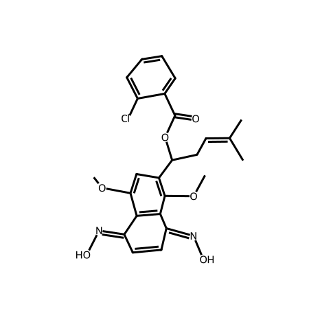 COc1cc(C(CC=C(C)C)OC(=O)c2ccccc2Cl)c(OC)c2c1C(=NO)C=CC2=NO